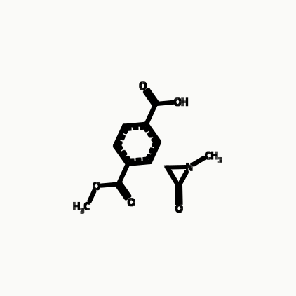 CN1CC1=O.COC(=O)c1ccc(C(=O)O)cc1